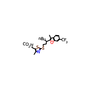 CCCCC(CCSc1nc(C)c(CC(=O)O)s1)c1oc2cc(C(F)(F)F)ccc2c1C